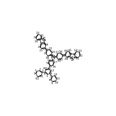 c1ccc(-c2cc(-c3ccccc3)cc(-c3ccc(N(c4ccc(-c5ccc6c(c5)sc5ccccc56)cc4)c4ccc(-c5ccc6c(c5)sc5ccccc56)cc4)cc3)c2)cc1